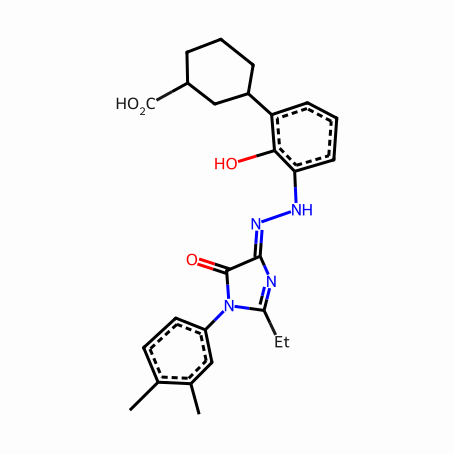 CCC1=NC(=NNc2cccc(C3CCCC(C(=O)O)C3)c2O)C(=O)N1c1ccc(C)c(C)c1